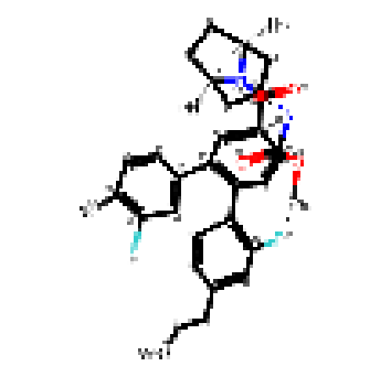 COCCc1ccc(-c2ccc(C(=O)N3[C@@H]4CC[C@H]3C[C@H](NC(=O)OC(C)(C)C)C4)cc2-c2ccc(C#N)c(F)c2)c(F)c1